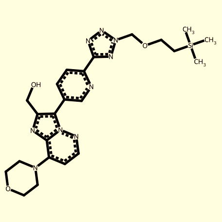 C[Si](C)(C)CCOCn1nnc(-c2ccc(-c3c(CO)nc4c(N5CCOCC5)ccnn34)cn2)n1